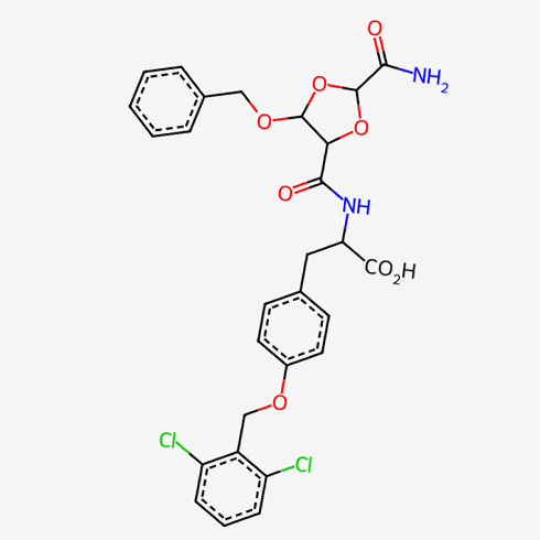 NC(=O)C1OC(OCc2ccccc2)C(C(=O)NC(Cc2ccc(OCc3c(Cl)cccc3Cl)cc2)C(=O)O)O1